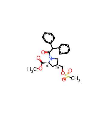 COC(=O)[C@@H]1C[C@H](COS(C)(=O)=O)CN1C(=O)C(c1ccccc1)c1ccccc1